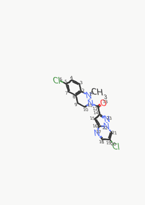 CN1c2ccc(Cl)cc2CCN1C(=O)c1cc2ncc(Cl)cn2n1